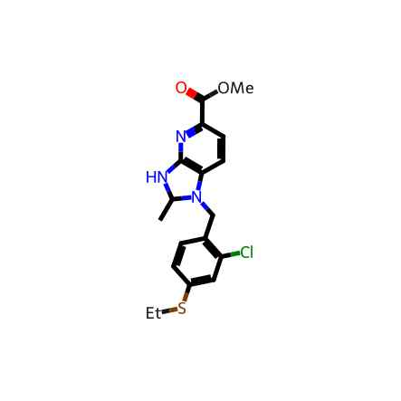 CCSc1ccc(CN2c3ccc(C(=O)OC)nc3NC2C)c(Cl)c1